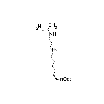 CCCCCCCC/C=C\CCCCCCCCNC(C)CN.Cl